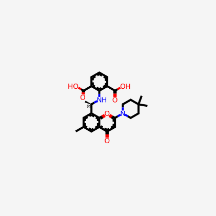 Cc1cc([C@@H](C)Nc2c(C(=O)O)cccc2C(=O)O)c2oc(N3CCC(C)(C)CC3)cc(=O)c2c1